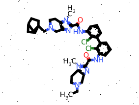 CCN1CCc2c(nc(C(=O)Nc3cccc(-c4cccc(NC(=O)c5nc6c(n5C)CCN(CC57CCC(CC5)C7)C6)c4Cl)c3Cl)n2C)C1